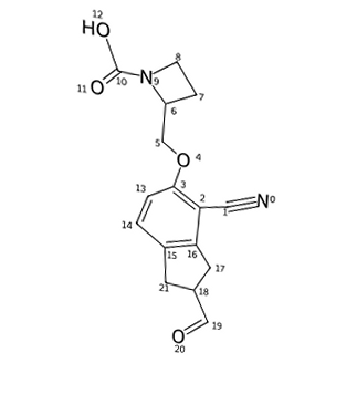 N#Cc1c(OCC2CCN2C(=O)O)ccc2c1CC(C=O)C2